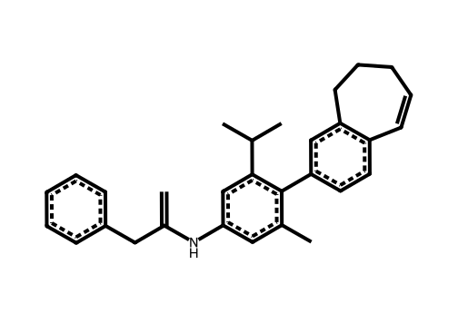 C=C(Cc1ccccc1)Nc1cc(C)c(-c2ccc3c(c2)CCCC=C3)c(C(C)C)c1